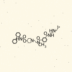 CN(CCN1CCC(OC(=O)Nc2ccccc2-c2ccccc2)CC1)C(=O)c1cccc(C(=O)NCCNCC2CC2)c1